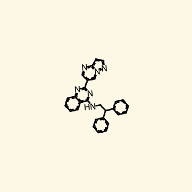 c1ccc(C(CNc2nc(-c3cnc4ccnn4c3)nc3ccccc23)c2ccccc2)cc1